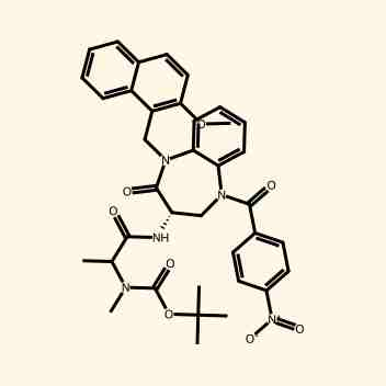 COc1ccc2ccccc2c1CN1C(=O)[C@@H](NC(=O)C(C)N(C)C(=O)OC(C)(C)C)CN(C(=O)c2ccc([N+](=O)[O-])cc2)c2ccccc21